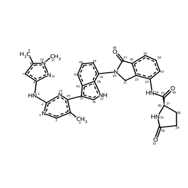 Cc1cnc(Nc2cc(C)n(C)n2)nc1-c1c[nH]c2c(N3Cc4c(NC(=O)[C@H]5CCC(=O)N5)cccc4C3=O)cccc12